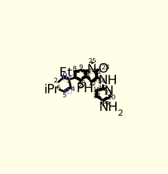 CC/C(C)=C(/C=C\C(C)C)c1ccc2c(cc(Nc3ccc(N)cn3)c(=O)n2C)c1P